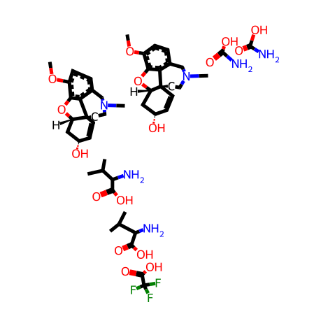 CC(C)C(N)C(=O)O.CC(C)C(N)C(=O)O.COc1ccc2c3c1O[C@H]1C[C@@H](O)C=C[C@@]31CCN(C)C2.COc1ccc2c3c1O[C@H]1C[C@@H](O)C=C[C@@]31CCN(C)C2.NC(=O)O.NC(=O)O.O=C(O)C(F)(F)F